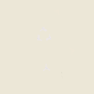 c1ccc(-c2nc(-c3ccc(-n4c5ccccc5c5cc6ccccc6cc54)cc3-c3cccc4oc5cc6ccccc6cc5c34)nc(-c3cccc4oc5ccccc5c34)n2)cc1